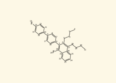 CCCCc1c(-c2ccc(-c3ccc(F)cc3)cc2)c(F)c2ccccc2c1CCCC